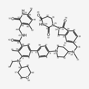 CCN(c1cc(-c2ccc(N3CCC(N(C)Cc4ccc5c(c4)CN(N4CCC(=O)NC4=O)C5=O)CC3)cc2)cc(C(=O)NCc2c(C)cc(C)[nH]c2=O)c1C)C1CCOCC1